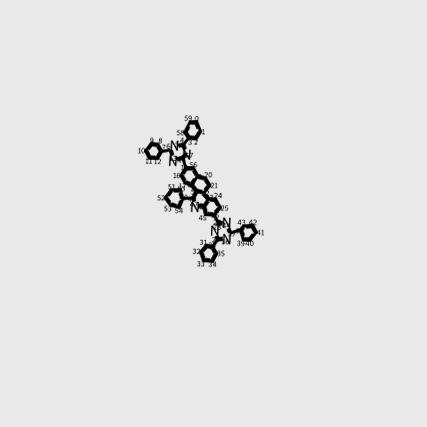 c1ccc(-c2nc(-c3ccccc3)nc(-c3ccc4c(ccc5c6ccc(-c7nc(-c8ccccc8)nc(-c8ccccc8)n7)cc6nc(-c6ccccc6)c45)c3)n2)cc1